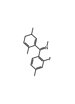 C/N=C(\C1=CC(C)CC=C1C)c1ccc(C)cc1F